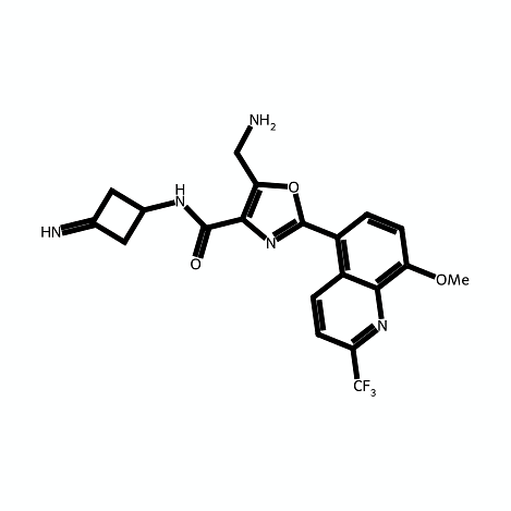 COc1ccc(-c2nc(C(=O)NC3CC(=N)C3)c(CN)o2)c2ccc(C(F)(F)F)nc12